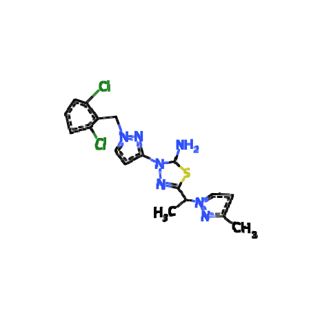 Cc1ccn(C(C)C2=NN(c3ccn(Cc4c(Cl)cccc4Cl)n3)C(N)S2)n1